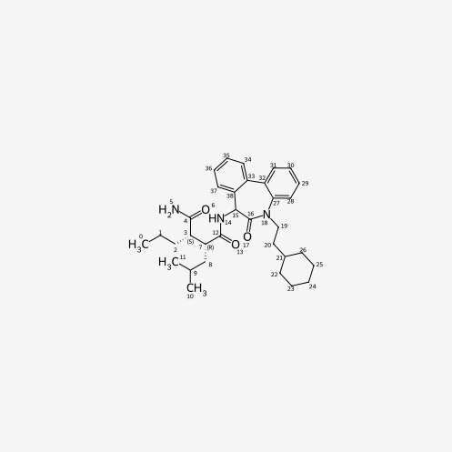 CCC[C@H](C(N)=O)[C@@H](CC(C)C)C(=O)NC1C(=O)N(CCC2CCCCC2)c2ccccc2-c2ccccc21